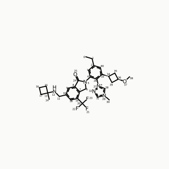 CCc1cc(N2Cc3c(cc(CNC4(C)CCC4)cc3C(F)(F)F)C2=O)c(-[n+]2cn(C)cn2)c([C@H]2C[C@@H](OC)C2)c1